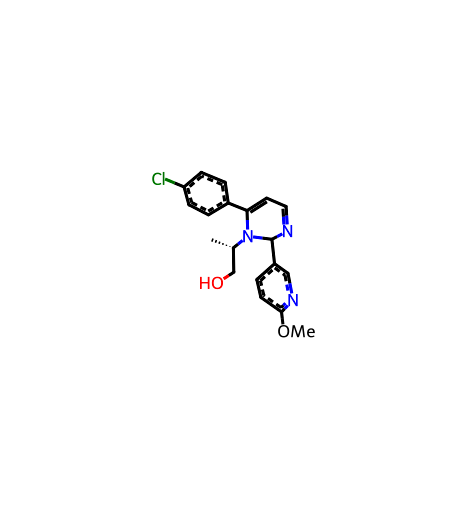 COc1ccc(C2N=CC=C(c3ccc(Cl)cc3)N2[C@@H](C)CO)cn1